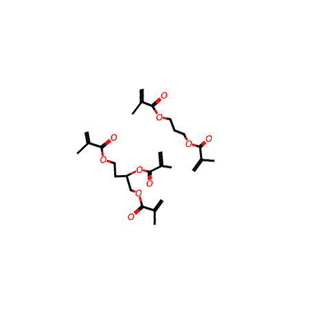 C=C(C)C(=O)OCCC(COC(=O)C(=C)C)OC(=O)C(=C)C.C=C(C)C(=O)OCCCOC(=O)C(=C)C